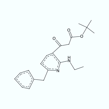 CCNc1nc(Cc2ccccc2)ccc1C(=O)CC(=O)OC(C)(C)C